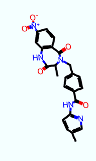 Cc1ccc(NC(=O)c2ccc(CN3C(=O)c4ccc([N+](=O)[O-])cc4NC(=O)C3C)cc2)nc1